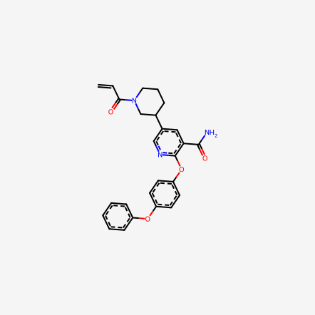 C=CC(=O)N1CCCC(c2cnc(Oc3ccc(Oc4ccccc4)cc3)c(C(N)=O)c2)C1